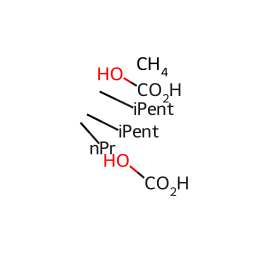 C.CCCC.CCCC(C)C.CCCC(C)C.O=C(O)O.O=C(O)O